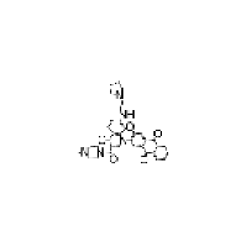 CN1CCN(C(=O)c2cn3c4cc5c(=O)c6ccccc6c(=O)c5cc4oc4c(NCCN5CCCC5)ccc(c2=O)c43)CC1